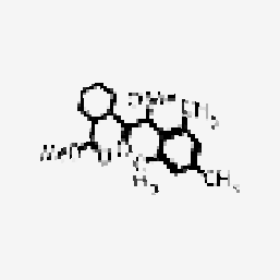 COC(=O)C1CCCCC1C(=O)C(OC)c1c(C)cc(C)cc1C